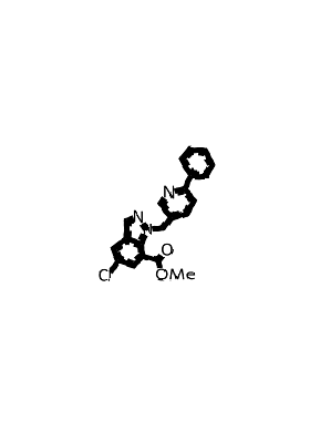 COC(=O)c1cc(Cl)cc2cnn(Cc3ccc(-c4ccccc4)nc3)c12